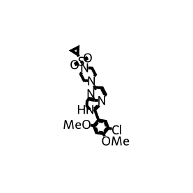 COc1cc(OC)c(/C2=C/N3C=CC(N4CCN(S(=O)(=O)C5CC5)CC4)=N/C3=C\CCN2)cc1Cl